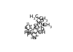 CC(C)Cn1c(=O)n(C)c(=O)c2c(C(O)c3cccnc3)c(Cc3ccccc3C(F)(F)F)sc21